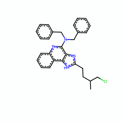 CC(CCl)CCc1nc2c(N(Cc3ccccc3)Cc3ccccc3)nc3ccccc3c2[nH]1